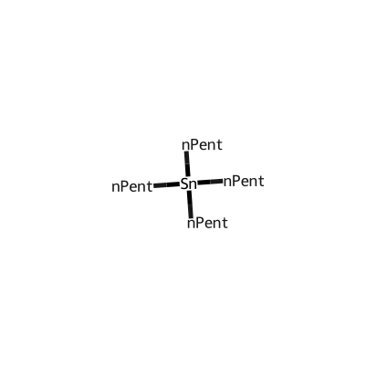 CCCC[CH2][Sn]([CH2]CCCC)([CH2]CCCC)[CH2]CCCC